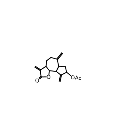 C=C1C(=O)OC2C1CCC(=C)C1CC(OC(C)=O)C(=C)C12